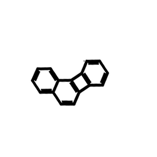 [c]1cccc2c1-c1c-2ccc2ccccc12